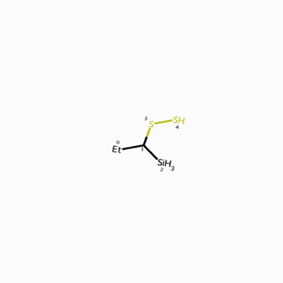 CCC([SiH3])SS